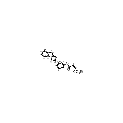 CCOC(=O)/C=C\C(=O)Oc1cccc(-c2cn3c(n2)sc2ccccc23)c1